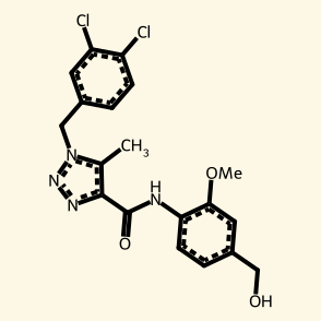 COc1cc(CO)ccc1NC(=O)c1nnn(Cc2ccc(Cl)c(Cl)c2)c1C